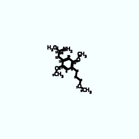 COCCCc1cc(OC)c(C[C@@H](C)N)cc1OC